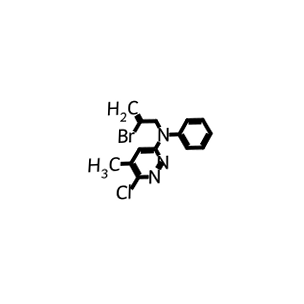 C=C(Br)CN(c1ccccc1)c1cc(C)c(Cl)nn1